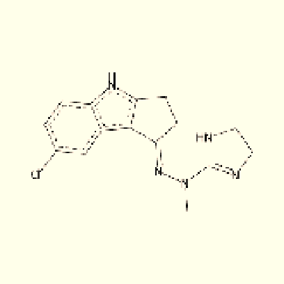 CN(N=C1CCc2[nH]c3ccc(Cl)cc3c21)C1=NCCN1